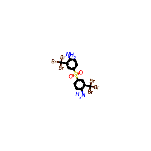 Nc1ccc(S(=O)(=O)c2ccc(N)c(C(Br)(Br)Br)c2)cc1C(Br)(Br)Br